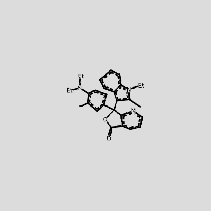 CCN(CC)c1ccc(C2(c3c(C)n(CC)c4ccccc34)OC(=O)c3cccnc32)cc1C